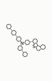 c1ccc(-c2ccc(-c3ccc(N(c4ccc(-c5cccc6c5sc5ccc7ccccc7c56)cc4)c4cccc(-c5ccccc5)c4)cc3)cc2)cc1